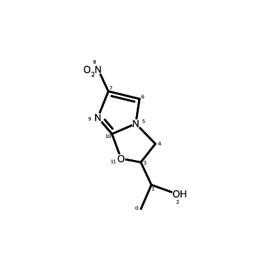 CC(O)C1Cn2cc([N+](=O)[O-])nc2O1